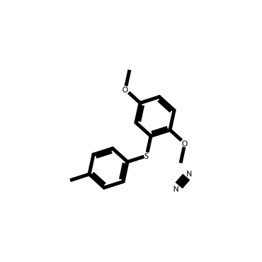 COc1ccc(OC)c(Sc2ccc(C)cc2)c1.N#N